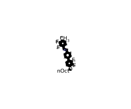 CCCCCCCCOc1ccc(C2CCC(/C=C/c3ccc(C)c(F)c3F)CC2)c(F)c1F